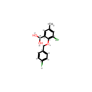 Cc1cc(Br)c(OCc2ccc(F)cc2)c(B(O)O)c1